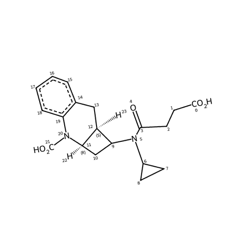 O=C(O)CCC(=O)N(C1CC1)C1C[C@@H]2[C@H]1Cc1ccccc1N2C(=O)O